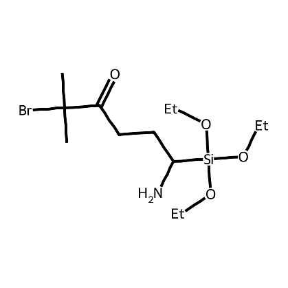 CCO[Si](OCC)(OCC)C(N)CCC(=O)C(C)(C)Br